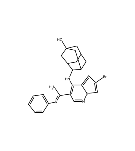 N/C(=N\c1ccccc1)c1cnn2cc(Br)cc2c1NC1C2CC3CC1CC(O)(C3)C2